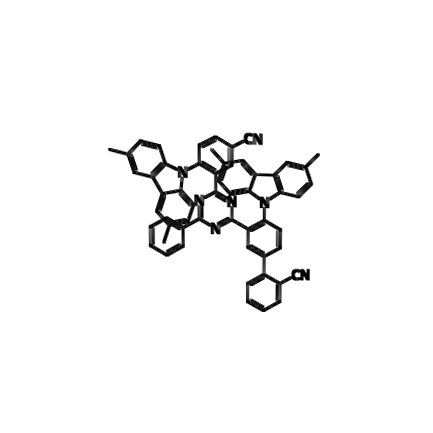 Cc1ccc2c(c1)c1cc(C)ccc1n2-c1ccc(C#N)cc1-c1nc(-c2ccccc2)nc(-c2cc(-c3ccccc3C#N)ccc2-n2c3ccc(C)cc3c3cc(C)ccc32)n1